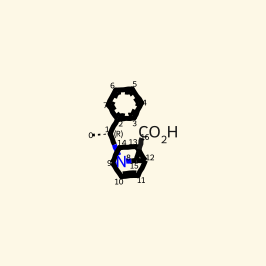 C[C@H](c1ccccc1)N1C2C=CC(CC2)C1C(=O)O